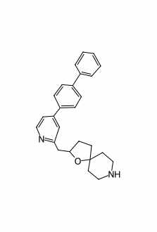 c1ccc(-c2ccc(-c3ccnc(CC4CCC5(CCNCC5)O4)c3)cc2)cc1